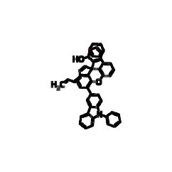 C=C/C=C\C=C/C1(c2ccccc2O)c2cccc(-c3ccc4c(c3)c3ccccc3n4-c3ccccc3)c2Oc2cccc(-c3ccccc3)c21